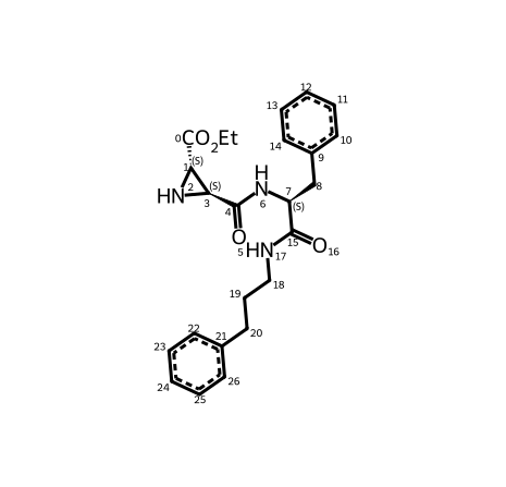 CCOC(=O)[C@H]1N[C@@H]1C(=O)N[C@@H](Cc1ccccc1)C(=O)NCCCc1ccccc1